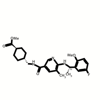 COc1ccc(F)cc1[C@H](C)Nc1ncc(C(=O)NC[C@H]2CC[C@H](C(=O)OC)CC2)cc1C